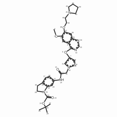 COc1cc2c(Oc3cnn(CC(=O)Nc4ccc5c(c4)N(C(=O)OC(C)(C)C)CC5)c3)ncnc2cc1OCCN1CCCC1